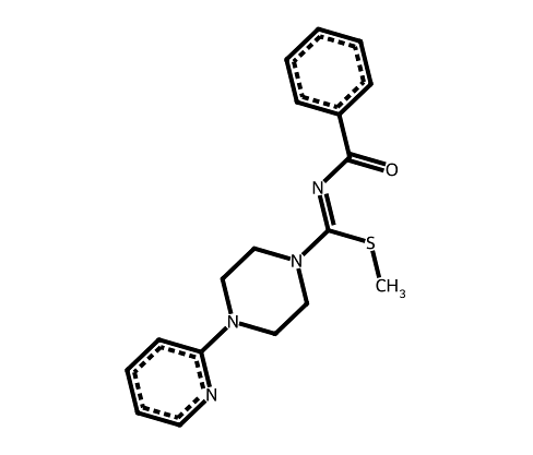 CSC(=NC(=O)c1ccccc1)N1CCN(c2ccccn2)CC1